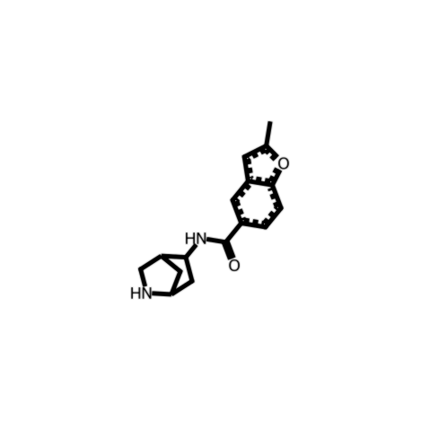 Cc1cc2cc(C(=O)NC3CC4CC3CN4)ccc2o1